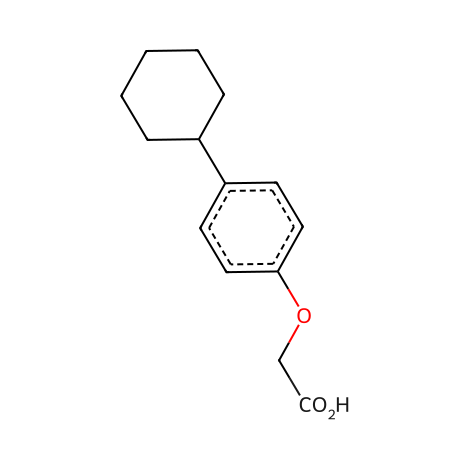 O=C(O)COc1ccc(C2CCCCC2)cc1